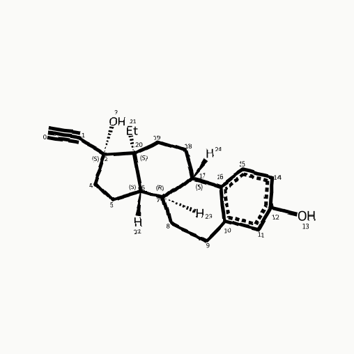 C#C[C@]1(O)CC[C@H]2[C@@H]3CCc4cc(O)ccc4[C@H]3CC[C@@]21CC